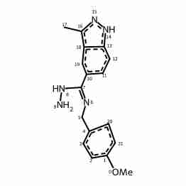 COc1ccc(C/N=C(\NN)c2ccc3[nH]nc(C)c3c2)cc1